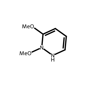 COC1=CC=CNN1OC